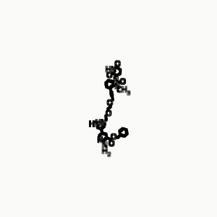 Cn1c(=O)n(C2CCC(=O)NC2=O)c2cccc(C#CCOCCOCCN/C=C(\C=N)c3cnc(N)c(C(=O)OCc4ccccc4)c3)c21